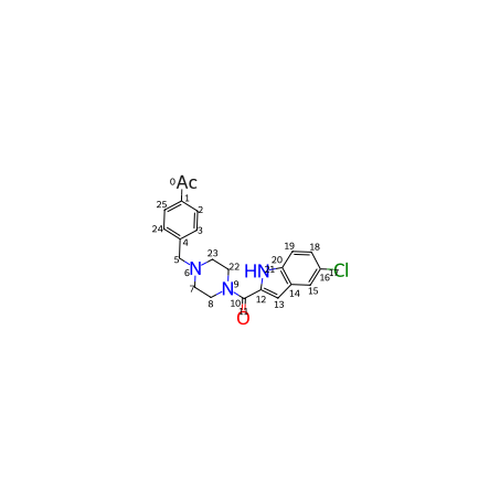 CC(=O)c1ccc(CN2CCN(C(=O)c3cc4cc(Cl)ccc4[nH]3)CC2)cc1